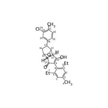 CCc1cc(C)cc(CC)c1C1=C(O)[C@@H]2C3OC(CC3c3ccc(C)c(Cl)c3)[C@@H]2C1=O